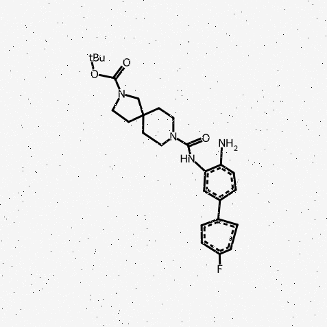 CC(C)(C)OC(=O)N1CCC2(CCN(C(=O)Nc3cc(-c4ccc(F)cc4)ccc3N)CC2)C1